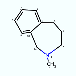 CN1CCCc2c[c]ccc2C1